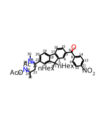 CCCCCCC1(CCCCCC)c2cc(C(=O)c3ccc([N+](=O)[O-])cc3)ccc2-c2ccc(/C(CC(C)N(OC(C)=O)C(C)=O)=N\C)cc21